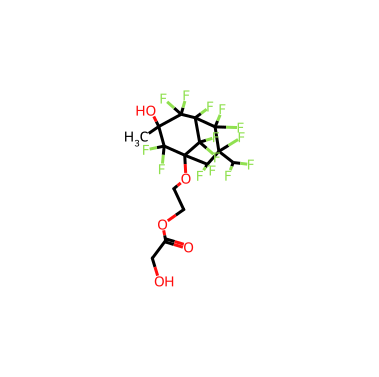 CC1(O)C(F)(F)C2(F)C(F)(F)C(F)(C(F)F)C(F)(F)C(OCCOC(=O)CO)(C1(F)F)C2(F)F